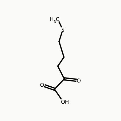 CSCCCC(=O)C(=O)O